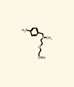 COCCOCCN(C)Cc1ccc(N)cc1